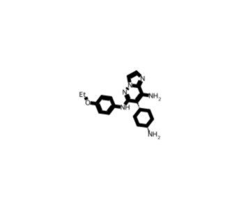 CCOc1ccc(Nc2nn3ccnc3c(N)c2[C@H]2CC[C@@H](N)CC2)cc1